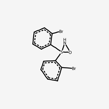 Brc1ccccc1S1(c2ccccc2Br)NO1